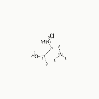 CC(O)CNCl.CN(C)C